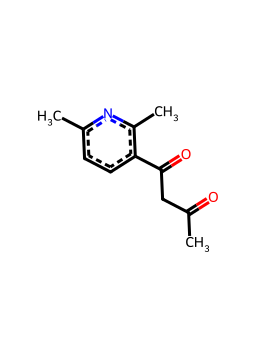 CC(=O)CC(=O)c1ccc(C)nc1C